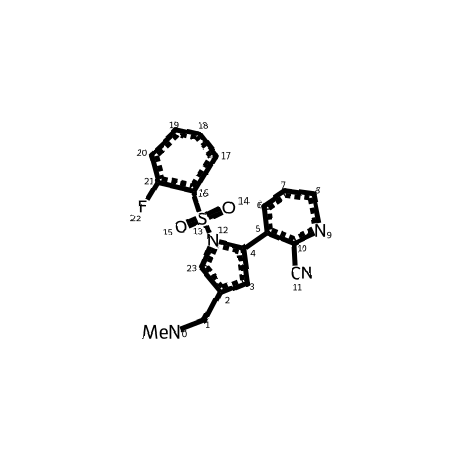 CNCc1cc(-c2cccnc2C#N)n(S(=O)(=O)c2ccccc2F)c1